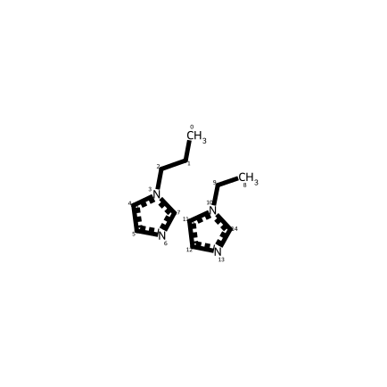 CCCn1ccnc1.CCn1ccnc1